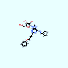 OC[C@H]1O[C@@H](n2cnc3c(NCC4CCCC4)nc(C#CCOc4ccccc4)nc32)[C@H](O)[C@@H]1O